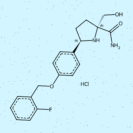 Cl.NC(=O)[C@]1(CO)CC[C@H](c2ccc(OCc3ccccc3F)cc2)N1